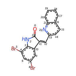 O=C1Nc2c(Br)cc(Br)cc2C1=Cc1ccc2ccccc2n1